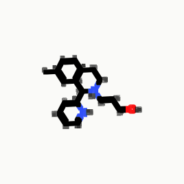 Cc1ccc2c(c1)C(c1ccccn1)N(C=CC=O)CC2